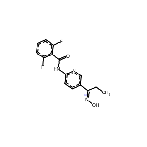 CC/C(=N\O)c1ccc(NC(=O)c2c(F)cccc2F)nc1